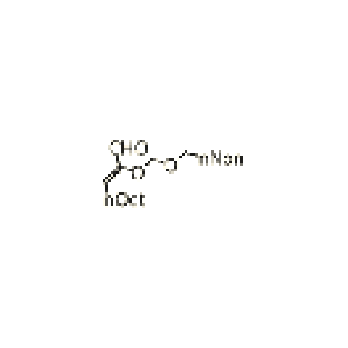 CCCCCCCCC=C(C=O)OCOCCCCCCCCCC